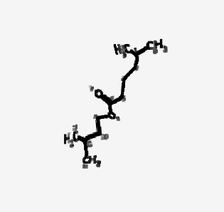 CC(C)CCCC(=O)OCCC(C)C